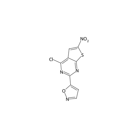 O=[N+]([O-])c1cc2c(Cl)nc(-c3ccno3)nc2s1